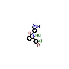 COc1ccc(C2=NN(c3ccc4[nH]ncc4c3)C(=O)C3CC=CCC23)cc1Cl.Cl